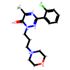 CC(C)c1nc(-c2ccccc2Cl)nn(CCCN2CCOCC2)c1=O